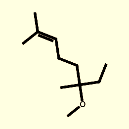 CCC(C)(CCC=C(C)C)OC